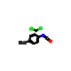 COc1ccc(N=C=O)cc1.ClCCl